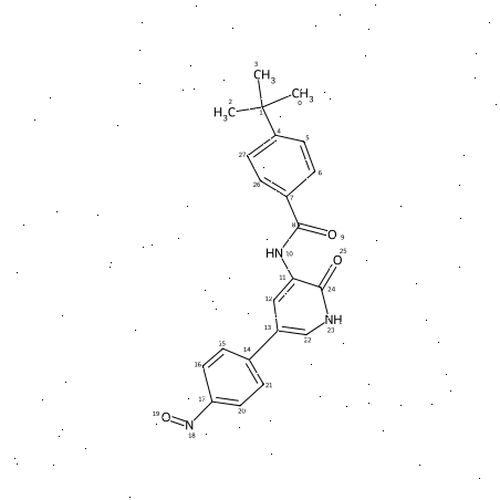 CC(C)(C)c1ccc(C(=O)Nc2cc(-c3ccc(N=O)cc3)c[nH]c2=O)cc1